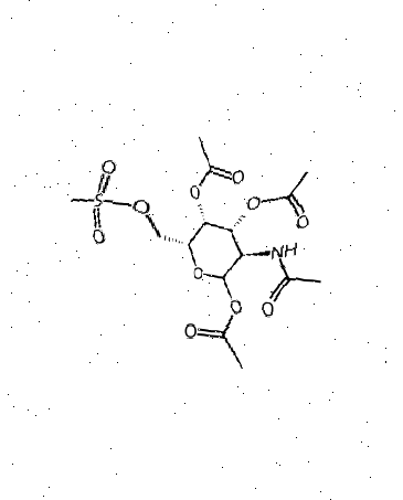 CC(=O)N[C@H]1C(OC(C)=O)O[C@H](COS(C)(=O)=O)[C@H](OC(C)=O)[C@@H]1OC(C)=O